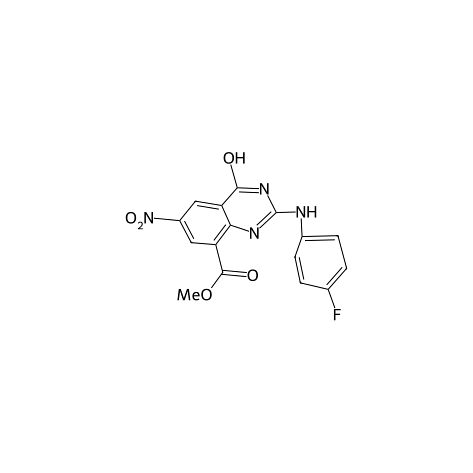 COC(=O)c1cc([N+](=O)[O-])cc2c(O)nc(Nc3ccc(F)cc3)nc12